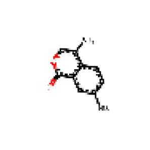 Cc1coc(=O)c2cc([N+](=O)[O-])ccc12